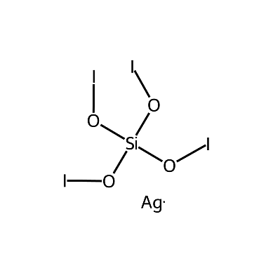 IO[Si](OI)(OI)OI.[Ag]